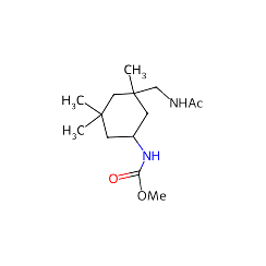 COC(=O)NC1CC(C)(C)CC(C)(CNC(C)=O)C1